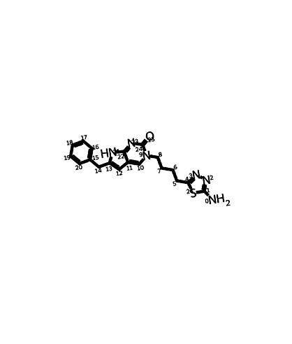 Nc1nnc(CCCCn2cc3cc(Cc4ccccc4)[nH]c3nc2=O)s1